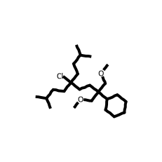 COCC(CCC(Cl)(CCC(C)C)CCC(C)C)(COC)C1CCCCC1